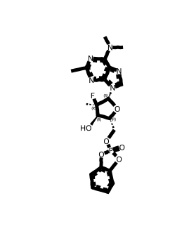 Cc1nc(N(C)C)c2ncn([C@@H]3O[C@H](COP4(=O)Oc5ccccc5O4)[C@@H](O)[C@@]3(C)F)c2n1